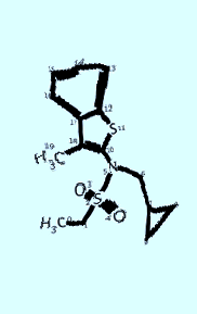 CCS(=O)(=O)N(CC1CC1)c1sc2ccccc2c1C